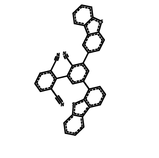 N#Cc1cccc(C#N)c1-c1cc(-c2cccc3c2sc2ccccc23)cc(-c2ccc3sc4ccccc4c3c2)c1C#N